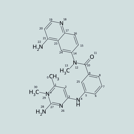 Cc1cc(Nc2cccc(C(=O)N(C)c3ccc4nccc(N)c4c3)c2)nc(N)[n+]1C